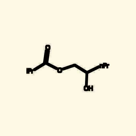 CCCC(O)COC(=O)C(C)C